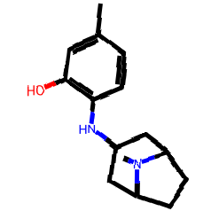 Cc1ccc(NC2CC3CCC(C2)N3C)c(O)c1